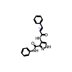 O=C(/C=C/c1ccccc1)Nc1c[nH]nc1C(=O)Nc1ccccc1